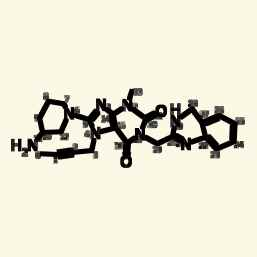 CC#CCn1c(N2CCCC(N)C2)nc2c1c(=O)n(CC1=Nc3ccccc3CN1)c(=O)n2C